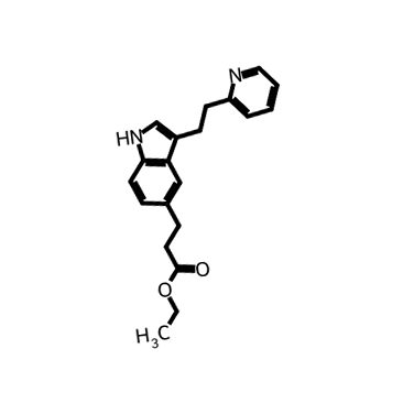 CCOC(=O)CCc1ccc2[nH]cc(CCc3ccccn3)c2c1